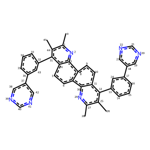 Cc1nc2c(ccc3c2ccc2c(-c4cccc(-c5cncnc5)c4)c(C)c(C)nc23)c(-c2cccc(-c3cncnc3)c2)c1C